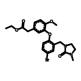 CCOC(=O)Cc1ccc(OC)c(Oc2ccc(Br)cc2CN2CCN(C)C2=O)c1